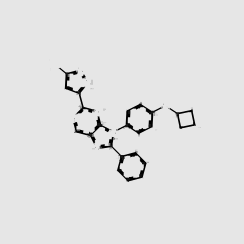 Cc1cc(-c2ncc3nc(-c4ccccc4)n(-c4ccc(NC5CCC5)cc4)c3n2)[nH]n1